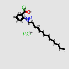 CCCCCCCCCC=CCCCNc1ccccc1C(=O)Cl.Cl